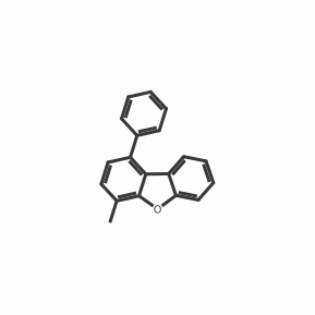 Cc1ccc(-c2ccccc2)c2c1oc1ccccc12